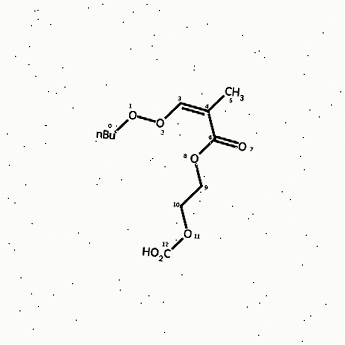 CCCCOOC=C(C)C(=O)OCCOC(=O)O